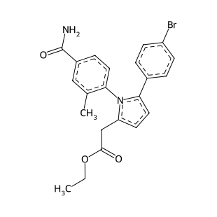 CCOC(=O)Cc1ccc(-c2ccc(Br)cc2)n1-c1ccc(C(N)=O)cc1C